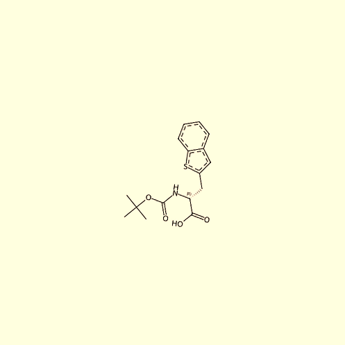 CC(C)(C)OC(=O)N[C@H](Cc1cc2ccccc2s1)C(=O)O